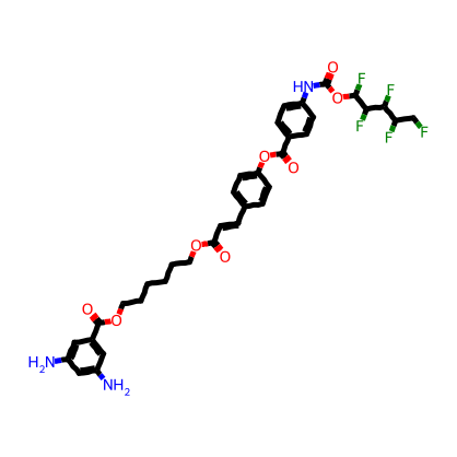 Nc1cc(N)cc(C(=O)OCCCCCCOC(=O)C=Cc2ccc(OC(=O)c3ccc(NC(=O)OC(F)C(F)C(F)C(F)CF)cc3)cc2)c1